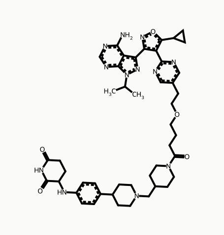 CC(C)n1nc(-c2noc(C3CC3)c2-c2ncc(CCOCCCC(=O)N3CCC(CN4CCC(c5ccc(NC6CCC(=O)NC6=O)cc5)CC4)CC3)cn2)c2c(N)ncnc21